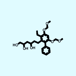 CCc1c(OCOC)cc(OCOC)c(-c2ccccc2)c1CCC(O)CC(O)CO